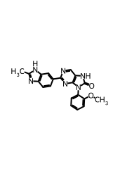 COc1ccccc1-n1c(=O)[nH]c2cnc(-c3ccc4nc(C)[nH]c4c3)nc21